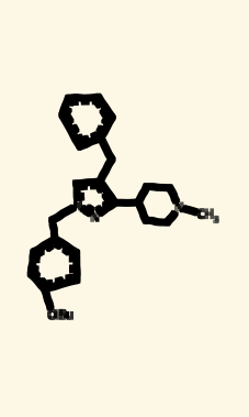 CC(C)COc1ccc(Cn2cc(Cc3ccccc3)c(C3CCN(C)CC3)n2)cc1